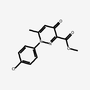 COC(=O)c1nn(-c2ccc(Cl)cc2)c(C)cc1=O